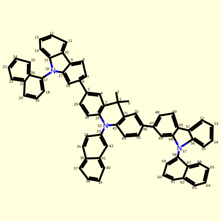 CC1(C)c2cc(-c3ccc4c5ccccc5n(-c5cccc6ccccc56)c4c3)ccc2N(c2ccc3ccccc3c2)c2ccc(-c3ccc4c5ccccc5n(-c5cccc6ccccc56)c4c3)cc21